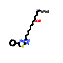 CCCCC/C=C\CC[C@H](O)CCCCCCCc1nnc2n1N=C(c1ccccc1)CS2